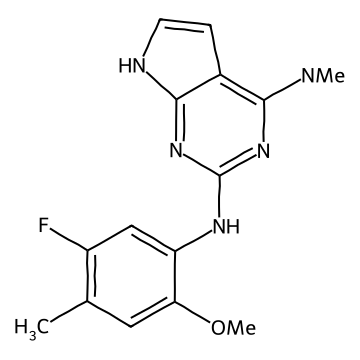 CNc1nc(Nc2cc(F)c(C)cc2OC)nc2[nH]ccc12